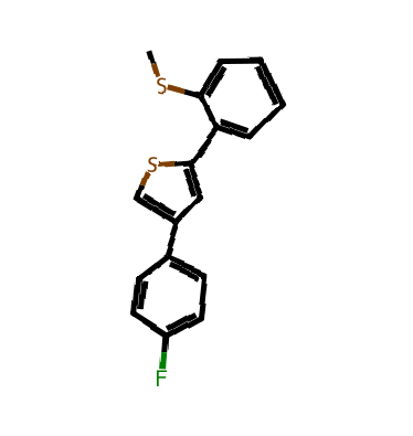 CSc1ccccc1-c1cc(-c2ccc(F)cc2)cs1